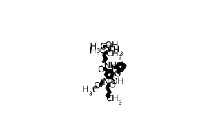 CCCCC(=O)N(CCOC)[C@@H]1CC(C(=O)NCCCC(C)(C)[Si](C)(C)O)=C[C@H](Oc2ccccc2I)[C@H]1O